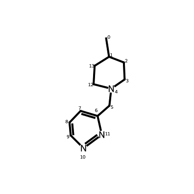 CC1CCN(Cc2cccnn2)CC1